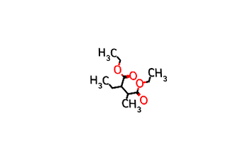 CCOC(=O)C(C)C(CC)C(=O)OCC